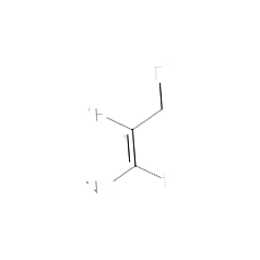 N#C/C(F)=C(\F)CF